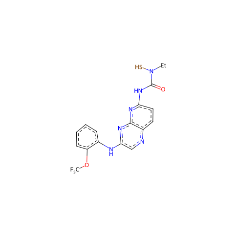 CCN(S)C(=O)Nc1ccc2ncc(Nc3ccccc3OC(F)(F)F)nc2n1